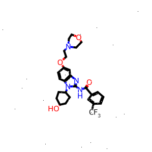 O=C(Nc1nc2cc(OCCN3CCOCC3)ccc2n1C1CCC(O)CC1)c1cccc(C(F)(F)F)c1